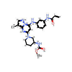 C=CC(=O)Nc1cccc(Nc2cc(N3CCCC(NC(=O)OC(C)(C)C)C3)nc3c(CC)cnn23)c1